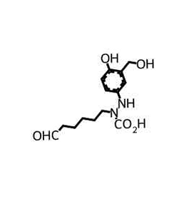 O=CCCCCCN(Nc1ccc(O)c(CO)c1)C(=O)O